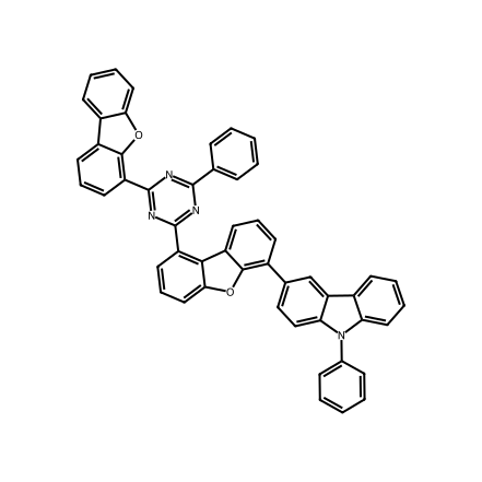 c1ccc(-c2nc(-c3cccc4c3oc3ccccc34)nc(-c3cccc4oc5c(-c6ccc7c(c6)c6ccccc6n7-c6ccccc6)cccc5c34)n2)cc1